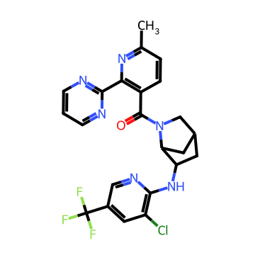 Cc1ccc(C(=O)N2CC3CC(Nc4ncc(C(F)(F)F)cc4Cl)C2C3)c(-c2ncccn2)n1